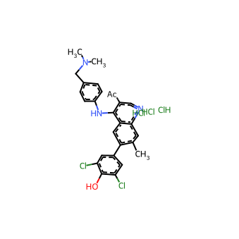 CC(=O)c1cnc2cc(C)c(-c3cc(Cl)c(O)c(Cl)c3)cc2c1Nc1ccc(CN(C)C)cc1.Cl.Cl.Cl